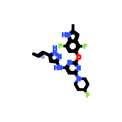 C/C=C/c1cc(Nc2cc(N3CCC(F)CC3)nc(Oc3cc(F)c4[nH]c(C)cc4c3F)n2)n[nH]1